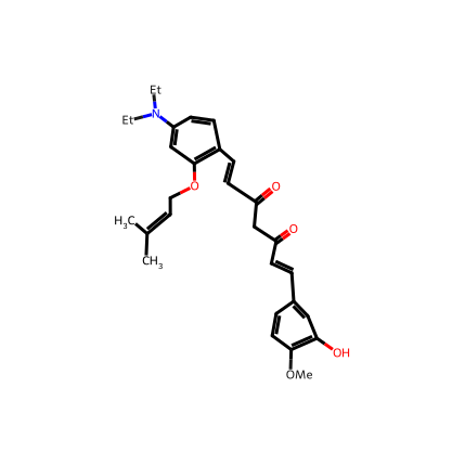 CCN(CC)c1ccc(C=CC(=O)CC(=O)C=Cc2ccc(OC)c(O)c2)c(OCC=C(C)C)c1